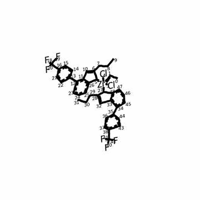 C[CH]=[Zr]([Cl])([Cl])([CH]1C(CCC)=Cc2c(-c3ccc(C(F)(F)F)cc3)cccc21)[CH]1C(CCC)=Cc2c(-c3ccc(C(F)(F)F)cc3)cccc21